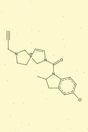 C#CCN1CC[PH]2(C=CN(C(=O)N3c4ccc(Cl)cc4CC3C)C2)C1